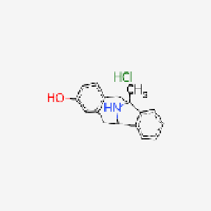 CC12Cc3ccc(O)cc3CC(N1)c1ccccc12.Cl